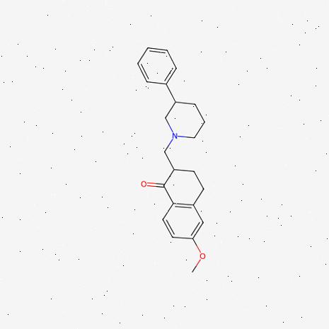 COc1ccc2c(c1)CCC(CN1CCCC(c3ccccc3)C1)C2=O